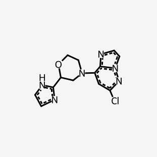 Clc1cc(N2CCOC(c3ncc[nH]3)C2)c2nccn2n1